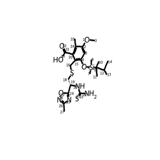 COc1cc(O[Si](C)(C)C(C)(C)C(C)C)c(CSC[C@H](NC(N)=S)c2nc(C)no2)c(C(=O)O)c1C